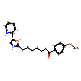 CSc1ccc(C(=O)CCCCCCc2ncc(-c3ccccn3)o2)cc1